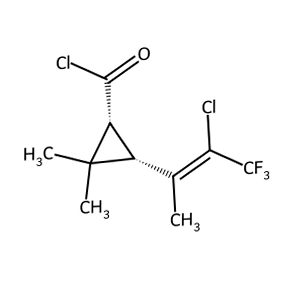 CC(=C(Cl)C(F)(F)F)[C@H]1[C@@H](C(=O)Cl)C1(C)C